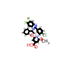 COc1cc(C(=O)O)cc(OCC(C2CCCCC2)n2c(-c3ccc(Cl)cc3)nc3cc(F)c(F)cc32)n1